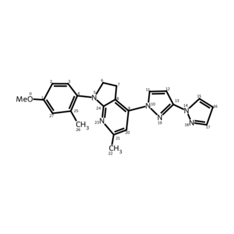 COc1ccc(N2CCc3c(-n4ccc(-n5cccn5)n4)cc(C)nc32)c(C)c1